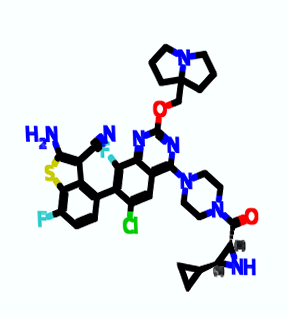 N#Cc1c(N)sc2c(F)ccc(-c3c(Cl)cc4c(N5CCN(C(=O)[C@@H]6N[C@H]6C6CC6)CC5)nc(OCC56CCCN5CCC6)nc4c3F)c12